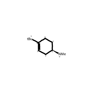 CN[C@H]1CC=C(C(C)(C)C)CC1